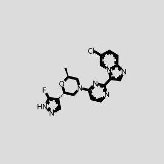 C[C@H]1CN(c2ccnc(-c3cnc4ccc(Cl)cn34)n2)C[C@H](c2cn[nH]c2F)O1